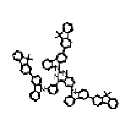 CC1(C)c2ccccc2-c2ccc(-c3ccc4c(c3)c3ccccc3n4-c3cccc(-c4nc(-n5c6ccccc6c6cc(-c7ccc8c(c7)C(C)(C)c7ccccc7-8)ccc65)nc5ccc(-n6c7ccccc7c7cc(-c8ccc9c(c8)C(C)(C)c8ccccc8-9)ccc76)cc45)c3)cc21